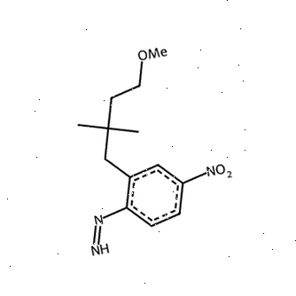 COCCC(C)(C)Cc1cc([N+](=O)[O-])ccc1N=N